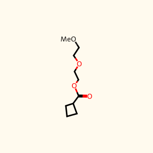 COCCOCCOC(=O)C1CCC1